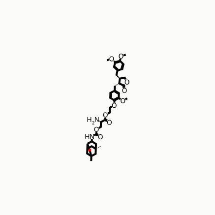 COc1ccc(C[C@H]2COC(=O)[C@@H]2Cc2ccc(OCCOC(=O)[C@@H](N)COC(=O)NC3C[C@]4(C)CC5CC(C)(CCC53)C4)c(OC)c2)cc1OC